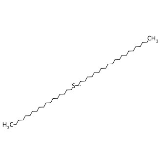 CCCCCCCCCCCCCCCCCCCCC[CH]SCCCCCCCCCCCCCCCCCC